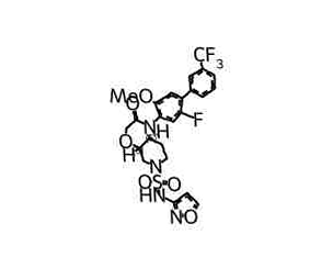 COc1cc(-c2cccc(C(F)(F)F)c2)c(F)cc1N1C(=O)CO[C@H]2CN(S(=O)(=O)Nc3ccon3)CC[C@@H]21